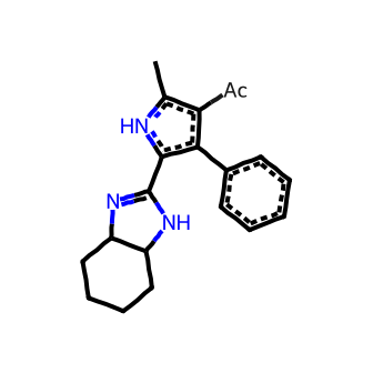 CC(=O)c1c(C)[nH]c(C2=NC3CCCCC3N2)c1-c1ccccc1